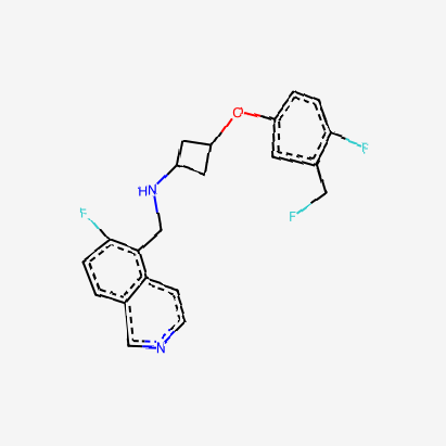 FCc1cc(OC2CC(NCc3c(F)ccc4cnccc34)C2)ccc1F